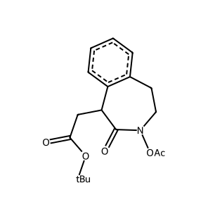 CC(=O)ON1CCc2ccccc2C(CC(=O)OC(C)(C)C)C1=O